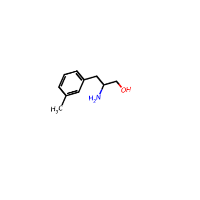 Cc1cccc(CC(N)CO)c1